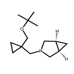 CC(C)(C)OCC1(CN2C[C@H]3C[C@H]3C2)CC1